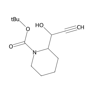 C#CC(O)C1CCCCN1C(=O)OC(C)(C)C